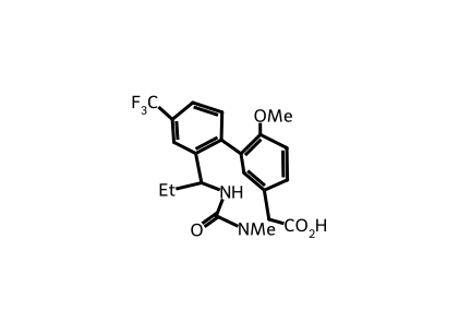 CCC(NC(=O)NC)c1cc(C(F)(F)F)ccc1-c1cc(CC(=O)O)ccc1OC